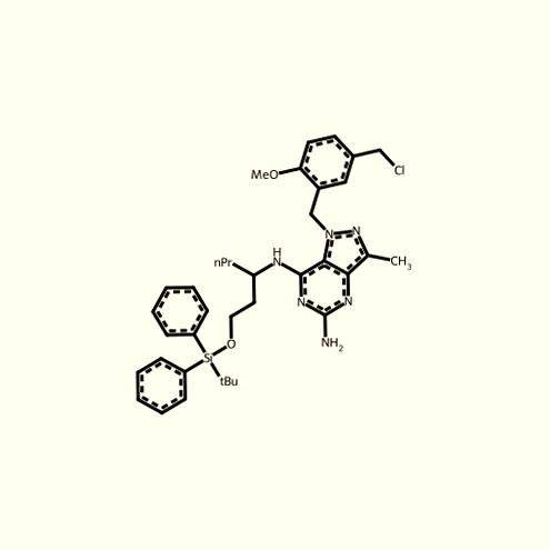 CCCC(CCO[Si](c1ccccc1)(c1ccccc1)C(C)(C)C)Nc1nc(N)nc2c(C)nn(Cc3cc(CCl)ccc3OC)c12